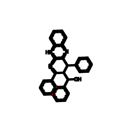 O=C(c1ccccc1)C(C(O)c1ccccc1)C(c1ccccc1)c1nc2ccccc2[nH]c1=O